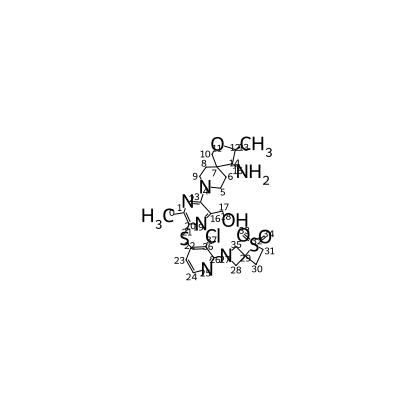 Cc1nc(N2CCC3(CC2)CO[C@@H](C)[C@H]3N)c(CO)nc1Sc1ccnc(N2CC3(CCS3(=O)=O)C2)c1Cl